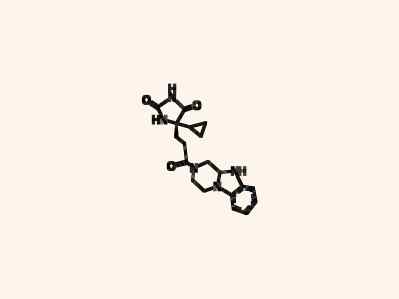 O=C1NC(=O)[C@](CCC(=O)N2CCN3c4ccccc4NC3C2)(C2CC2)N1